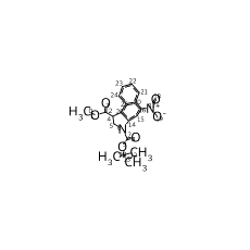 COC(=O)C1CN(C(=O)OC(C)(C)C)c2cc([N+](=O)[O-])c3ccccc3c21